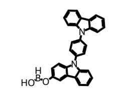 OBOc1ccc2c(c1)c1ccccc1n2-c1ccc(-n2c3ccccc3c3ccccc32)cc1